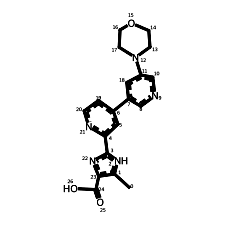 Cc1[nH]c(-c2cc(-c3cncc(N4CCOCC4)c3)ccn2)nc1C(=O)O